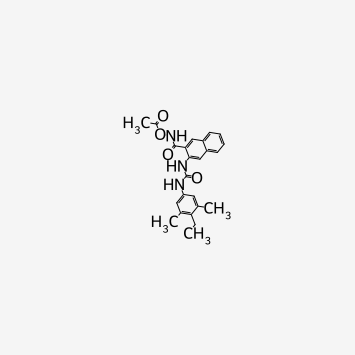 CCc1c(C)cc(NC(=O)Nc2cc3ccccc3cc2C(=O)NOC(C)=O)cc1C